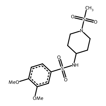 COc1ccc(S(=O)(=O)NC2CCN(S(C)(=O)=O)CC2)cc1OC